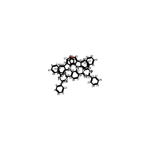 c1ccc(-c2nc(-c3ccccc3)nc(-c3ccc(-c4nc(-c5ccccc5)nc(-c5ccccc5)n4)c(-n4c5ccccc5c5ccccc54)c3-n3c4ccccc4c4ccccc43)n2)cc1